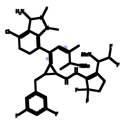 CNC(C)/C(C)=C\C(C1=C2C(=C(Cl)CC1)C(N)N(C)N2C)=C1\C(Cc2cc(F)cc(F)c2)C1NNC1=C(C(NC)C(F)F)CCC1(F)F